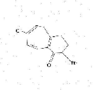 C[CH]C1CCC2=C(C=CC(Cl)=CC2)C1=O